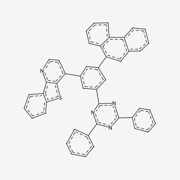 c1ccc(-c2nc(-c3ccccc3)nc(-c3cc(-c4cc5ccccc5c5ccccc45)cc(-c4ccnc5c4sc4ccccc45)c3)n2)cc1